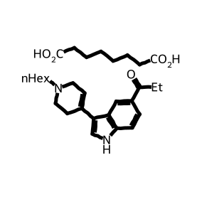 CCCCCCN1CC=C(c2c[nH]c3ccc(C(=O)CC)cc23)CC1.O=C(O)CCCCCCC(=O)O